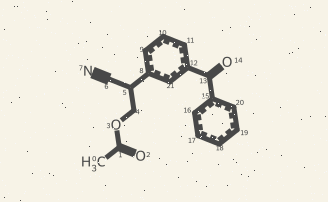 CC(=O)OCC(C#N)c1cccc(C(=O)c2ccccc2)c1